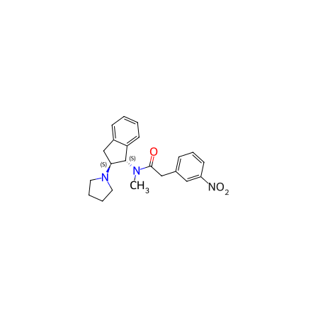 CN(C(=O)Cc1cccc([N+](=O)[O-])c1)[C@H]1c2ccccc2C[C@@H]1N1CCCC1